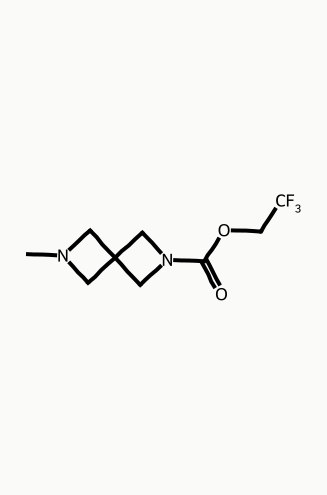 CN1CC2(C1)CN(C(=O)OCC(F)(F)F)C2